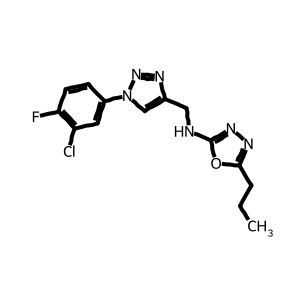 CCCc1nnc(NCc2cn(-c3ccc(F)c(Cl)c3)nn2)o1